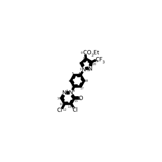 CCOC(=O)c1cn(-c2ccc(-n3ncc(Cl)c(Cl)c3=O)cc2)nc1C(F)(F)F